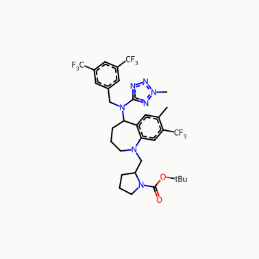 Cc1cc2c(cc1C(F)(F)F)N(CC1CCCN1C(=O)OC(C)(C)C)CCCC2N(Cc1cc(C(F)(F)F)cc(C(F)(F)F)c1)c1nnn(C)n1